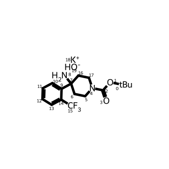 CC(C)(C)OC(=O)N1CCC(N)(c2ccccc2C(F)(F)F)CC1.[K+].[OH-]